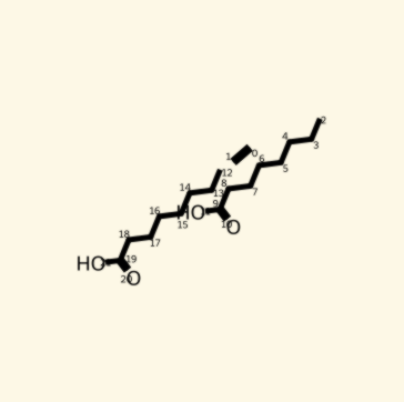 C=C.CCCCCCCC(=O)O.CCCCCCCC(=O)O